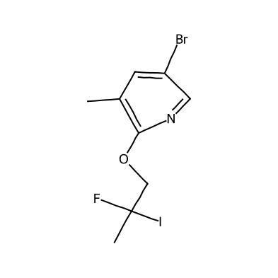 Cc1cc(Br)cnc1OCC(C)(F)I